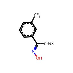 CCCCCC/C(=N\O)c1cccc(C(F)(F)F)c1